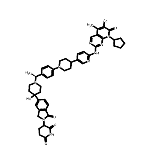 CC(=O)c1c(C)c2cnc(Nc3ccc(C4CCN(c5ccc([C@H](C)N6CCC(O)(c7ccc8c(c7)CN(C7CCC(=O)NC7=O)C8=O)CC6)cc5)CC4)cn3)nc2n(C2CCCC2)c1=O